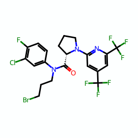 O=C([C@@H]1CCCN1c1cc(C(F)(F)F)cc(C(F)(F)F)n1)N(CCCBr)c1ccc(F)c(Cl)c1